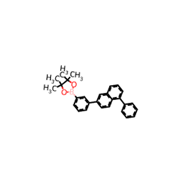 CC1(C)OB(c2cccc(-c3ccc4c(-c5ccccc5)cccc4c3)c2)OC1(C)C